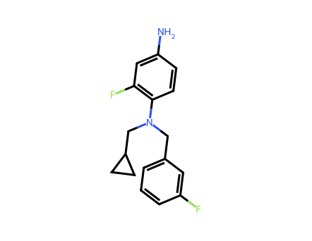 Nc1ccc(N(Cc2cccc(F)c2)CC2CC2)c(F)c1